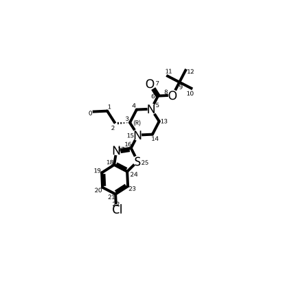 CCC[C@@H]1CN(C(=O)OC(C)(C)C)CCN1c1nc2ccc(Cl)cc2s1